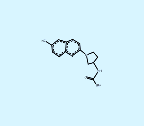 CC(C)(C)C(=O)NC1CCN(c2ccc3cc(C#N)ccc3n2)C1